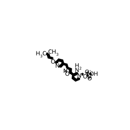 CC(C)=CCOc1ccc(Cc2cc(-c3ccc[n+](COP(=O)([O-])O)c3N)on2)cn1